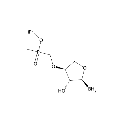 B[C@@H]1OC[C@H](OCP(C)(=O)OC(C)C)[C@H]1O